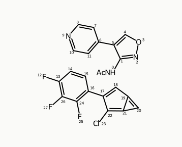 CC(=O)Nc1nocc1-c1ccncc1.Fc1ccc(-c2cc3cc-3c2Cl)c(F)c1F